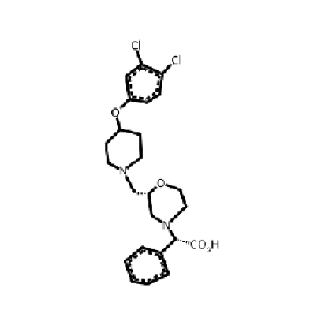 O=C(O)[C@H](c1ccccc1)N1CCO[C@@H](CN2CCC(Oc3ccc(Cl)c(Cl)c3)CC2)C1